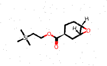 C[Si](C)(C)CCOC(=O)[C@H]1CC[C@@H]2O[C@@H]2C1